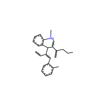 C=C/C(=C\c1ccccc1C)C(/C(=C\C)C(=C)CCC)c1ccccc1NC